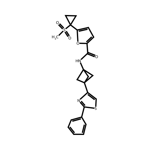 CS(=O)(=O)C1(c2ccc(C(=O)NC34CC(c5csc(-c6ccccc6)n5)(C3)C4)o2)CC1